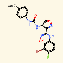 COc1ccc(NC(=O)Nc2conc2/C(=N/O)Nc2ccc(F)c(Br)c2)cc1